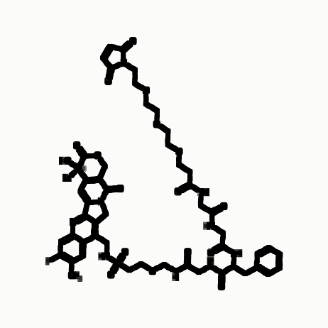 CC[C@@]1(O)C(=O)OCc2c1cc1n(c2=O)Cc2c-1nc1cc(F)c(C)cc1c2CNS(=O)(=O)CCOCNC(=O)CNC(=O)C(Cc1ccccc1)NC(=O)CNC(=O)CNC(=O)CCOCCOCCOCCN1C(=O)C=CC1=O